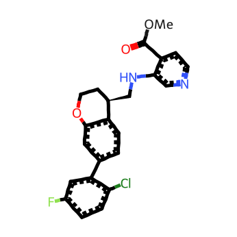 COC(=O)c1ccncc1NC[C@@H]1CCOc2cc(-c3cc(F)ccc3Cl)ccc21